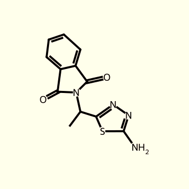 CC(c1nnc(N)s1)N1C(=O)c2ccccc2C1=O